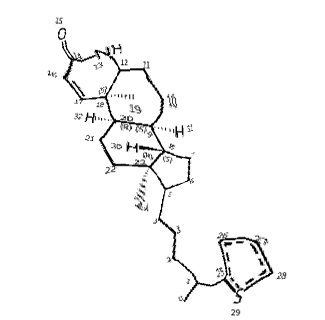 CC(CCCC1CC[C@H]2[C@@H]3CCC4NC(=O)C=C[C@]4(C)[C@@H]3CC[C@]12C)c1cccs1